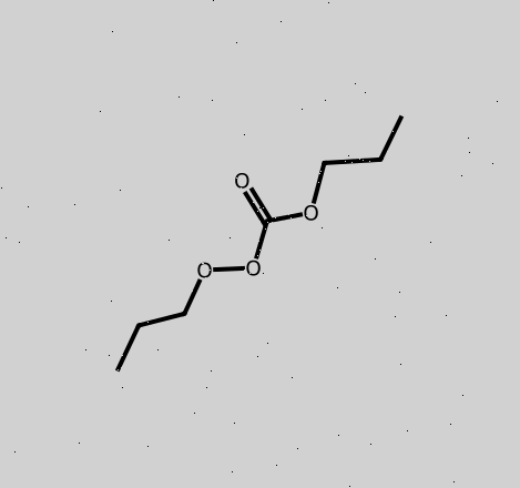 CCCOOC(=O)OCCC